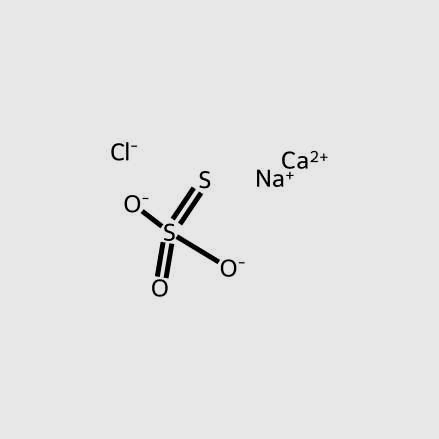 O=S([O-])([O-])=S.[Ca+2].[Cl-].[Na+]